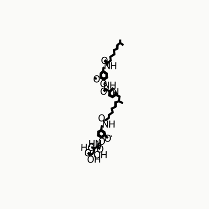 COc1cc(CNC(=O)CCCC/C=C/C(C)C)ccc1ONC(=O)c1ccc(CC(C)/C=C/CCCCC(=O)NCc2ccc(ONC(=O)C(O)C(O)C(=O)O)c(OC)c2)nc1